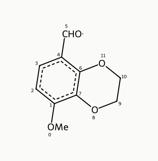 COc1ccc([C]=O)c2c1OCCO2